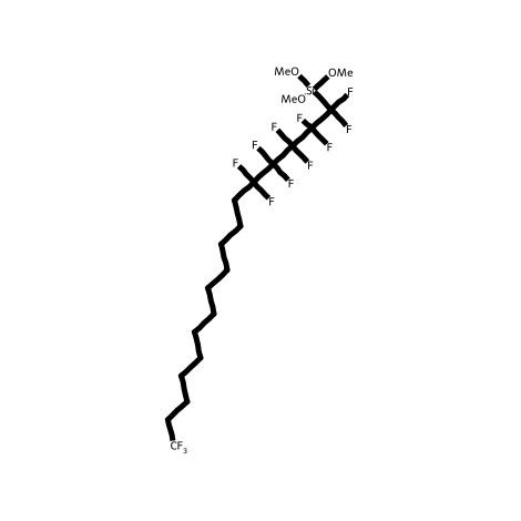 CO[Si](OC)(OC)C(F)(F)C(F)(F)C(F)(F)C(F)(F)C(F)(F)CCCCCCCCCCCC(F)(F)F